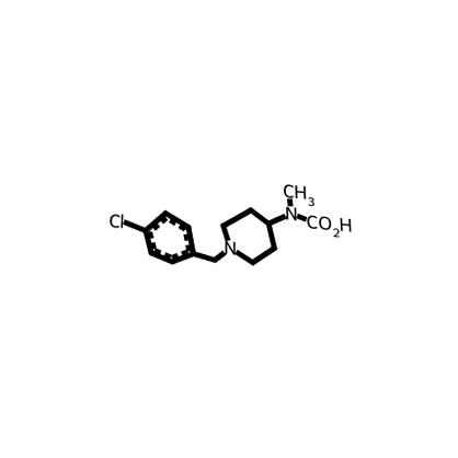 CN(C(=O)O)C1CCN(Cc2ccc(Cl)cc2)CC1